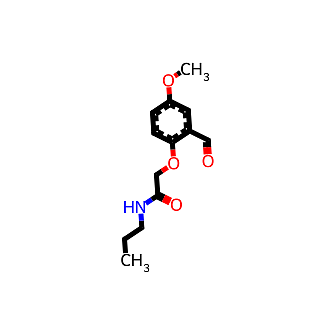 CCCNC(=O)COc1ccc(OC)cc1C=O